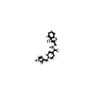 O=C(NCc1nc2ccccc2[nH]1)C1CCN(Cc2c[nH]cn2)CC1